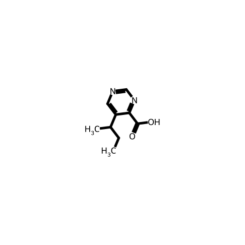 CCC(C)c1cncnc1C(=O)O